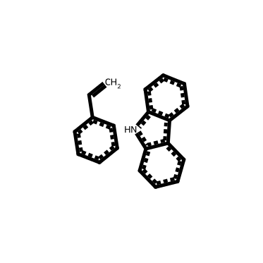 C=Cc1ccccc1.c1ccc2c(c1)[nH]c1ccccc12